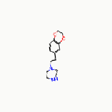 c1cc2c(cc1CCN1CCNCC1)OCCO2